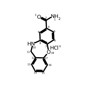 Cl.NC(=O)c1ccc2c(c1)NCc1ccccc1O2